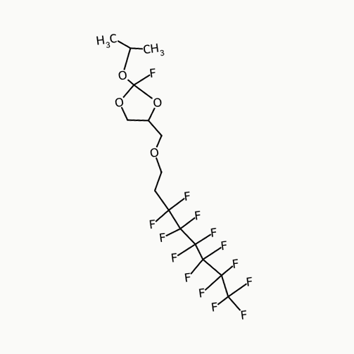 CC(C)OC1(F)OCC(COCCC(F)(F)C(F)(F)C(F)(F)C(F)(F)C(F)(F)C(F)(F)F)O1